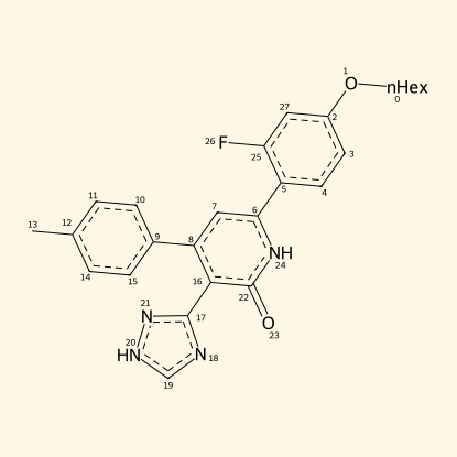 CCCCCCOc1ccc(-c2cc(-c3ccc(C)cc3)c(-c3nc[nH]n3)c(=O)[nH]2)c(F)c1